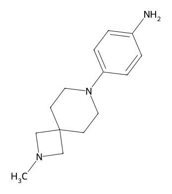 CN1CC2(CCN(c3ccc(N)cc3)CC2)C1